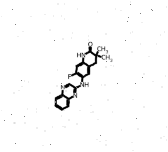 CC1(C)Cc2cc(Nc3cnc4ccccc4n3)c(F)cc2NC1=O